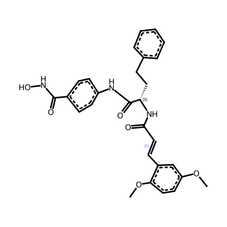 COc1ccc(OC)c(/C=C/C(=O)N[C@@H](CCc2ccccc2)C(=O)Nc2ccc(C(=O)NO)cc2)c1